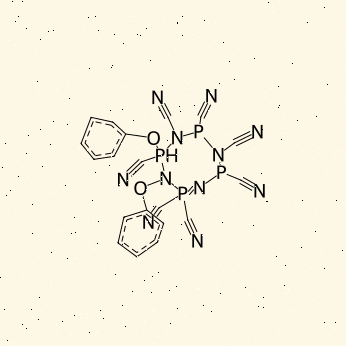 N#CN1P(C#N)N=P(C#N)(C#N)N(Oc2ccccc2)[PH](C#N)(Oc2ccccc2)N(C#N)P1C#N